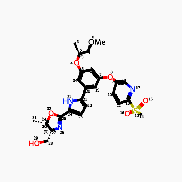 COC[C@H](C)Oc1cc(Oc2ccc(S(C)(=O)=O)nc2)cc(-c2ccc(C3=N[C@H](CO)[C@H](C)O3)[nH]2)c1